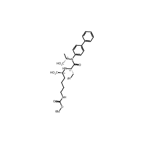 CC(C)C[C@H](N[C@@H](CCCCNC(=O)OC(C)(C)C)C(=O)O)C(=O)N(c1ccc(-c2ccccc2)cc1)[C@@H](C)C(=O)O